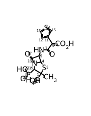 CC1(C)SC2C(NC(=O)C(C(=O)O)c3ccsc3)C(=O)N2C1P(=O)(O)O